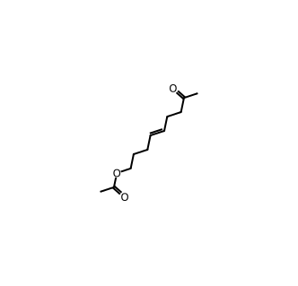 CC(=O)CC/C=C/CCCOC(C)=O